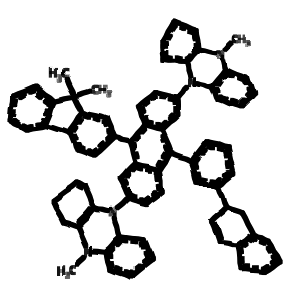 CN1C2=C(C=CCC2)N(c2ccc3c(-c4cccc(C5C=Cc6ccccc6C5)c4)c4cc(N5c6ccccc6N(C)c6ccccc65)ccc4c(-c4ccc5c(c4)C(C)(C)c4ccccc4-5)c3c2)c2ccccc21